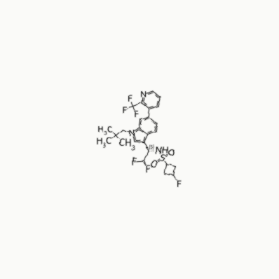 CC(C)(C)Cn1cc([C@H](NS(=O)(=O)C2CC(F)C2)C(F)F)c2ccc(-c3cccnc3C(F)(F)F)cc21